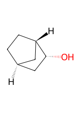 O[C@@H]1C[C@H]2CC[C@H]1C2